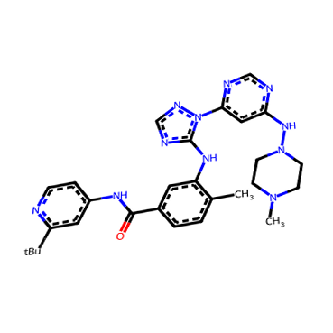 Cc1ccc(C(=O)Nc2ccnc(C(C)(C)C)c2)cc1Nc1ncnn1-c1cc(NN2CCN(C)CC2)ncn1